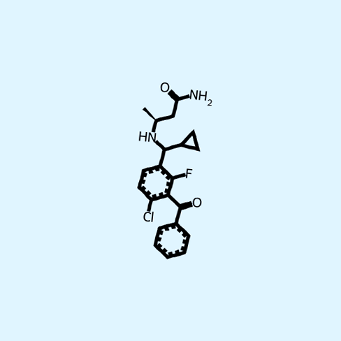 C[C@@H](CC(N)=O)NC(c1ccc(Cl)c(C(=O)c2ccccc2)c1F)C1CC1